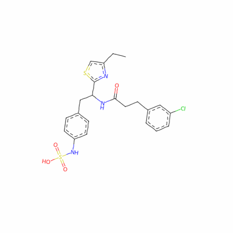 CCc1csc(C(Cc2ccc(NS(=O)(=O)O)cc2)NC(=O)CCc2cccc(Cl)c2)n1